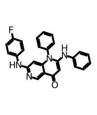 O=c1cc(Nc2ccccc2)n(-c2ccccc2)c2cc(Nc3ccc(F)cc3)ncc12